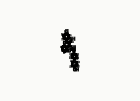 O=C(NC(c1ccccc1)c1c[nH]c2cc(Cl)ccc2c1=O)Oc1ccc(N2CCC(O)CC2)nc1